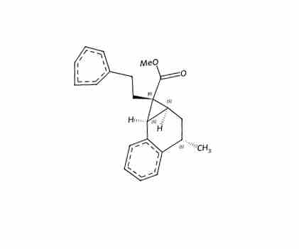 COC(=O)[C@@]1(CCc2ccccc2)[C@@H]2c3ccccc3[C@@H](C)C[C@@H]21